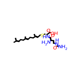 CC(C)=CCC/C(C)=C/CC/C(C)=C/CSC[C@@H](NC(=O)C(N)CCNC(N)=O)C(=O)O